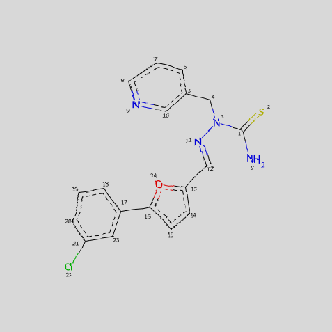 NC(=S)N(Cc1cccnc1)N=Cc1ccc(-c2cccc(Cl)c2)o1